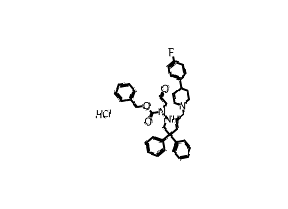 Cl.O=CCN(NCC(CCCN1CCC(c2ccc(F)cc2)CC1)(c1ccccc1)c1ccccc1)C(=O)OCc1ccccc1